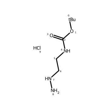 CC(C)(C)OC(=O)NCCNN.Cl